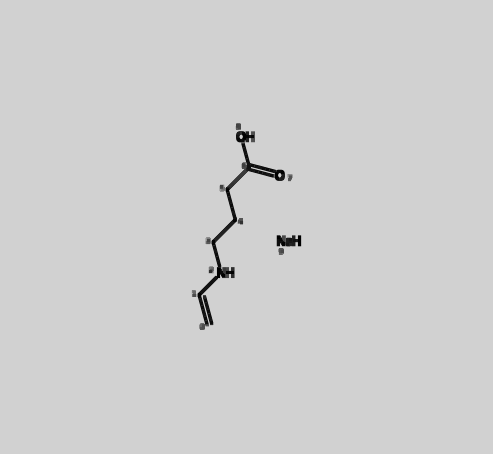 C=CNCCCC(=O)O.[NaH]